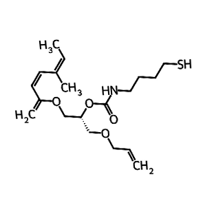 C=CCOC[C@H](COC(=C)/C=C\C(C)=C/C)OC(=O)NCCCCS